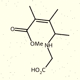 COC(=O)C(C)=C(C)C(C)NCC(=O)O